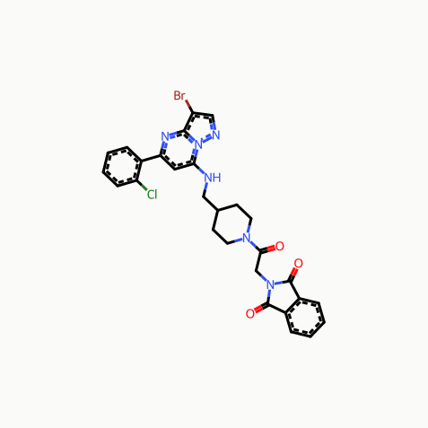 O=C(CN1C(=O)c2ccccc2C1=O)N1CCC(CNc2cc(-c3ccccc3Cl)nc3c(Br)cnn23)CC1